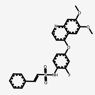 COc1cc2nccc(Oc3ccc(NS(=O)(=O)/C=C/c4ccccc4)c(F)c3)c2cc1OC